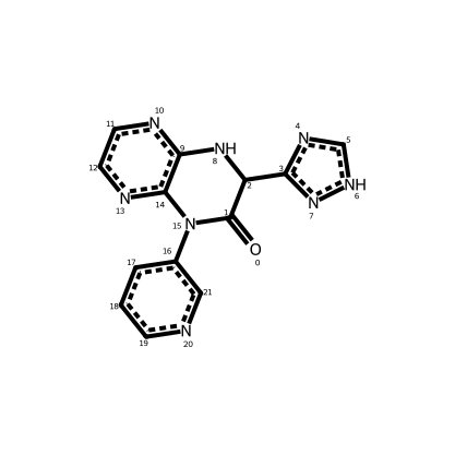 O=C1C(c2nc[nH]n2)Nc2nccnc2N1c1cccnc1